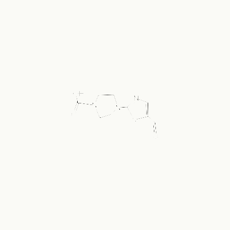 O=Cc1cnc(N2CCN(C(=O)O)CC2)s1